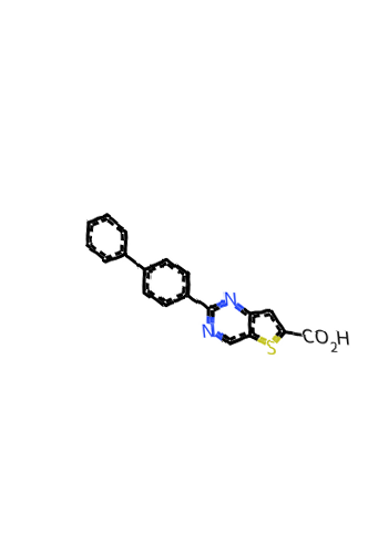 O=C(O)c1cc2nc(-c3ccc(-c4ccccc4)cc3)ncc2s1